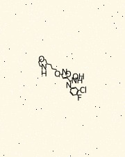 ONC(=Nc1ccc(F)c(Cl)c1)c1cc(OCCCC2COCCN2)no1